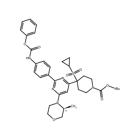 C[C@H]1COCCN1c1cc(C2(S(=O)(=O)C3CC3)CCN(C(=O)OC(C)(C)C)CC2)nc(-c2ccc(NC(=O)Oc3ccccc3)cc2)n1